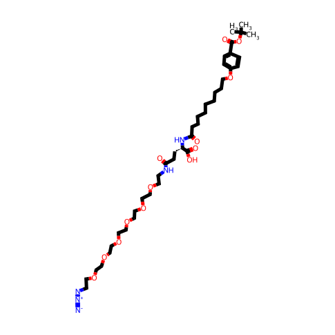 CC(C)(C)OC(=O)c1ccc(OCCCCCCCCCC(=O)N[C@@H](CCC(=O)NCCOCCOCCOCCOCCOCCOCCN=[N+]=[N-])C(=O)O)cc1